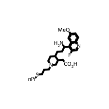 CCCSCCCN1CCC(CCC(N)c2c(F)cnc3ccc(OC)cc23)C(CC(=O)O)C1